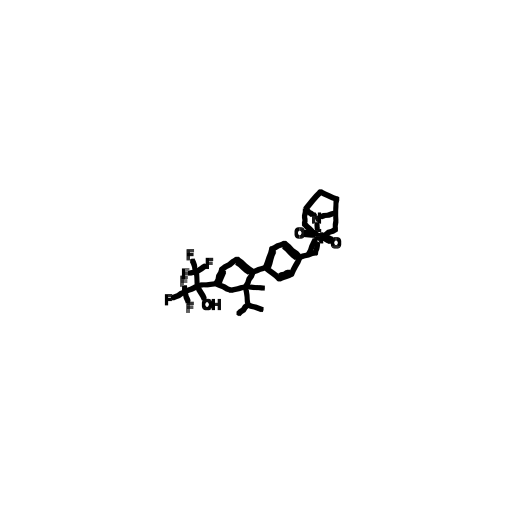 CC(C)C1(C)CC(C(O)(C(F)(F)F)C(F)(F)F)=CC=C1c1ccc(CN2CC3CCC(C2)N3S(C)(=O)=O)cc1